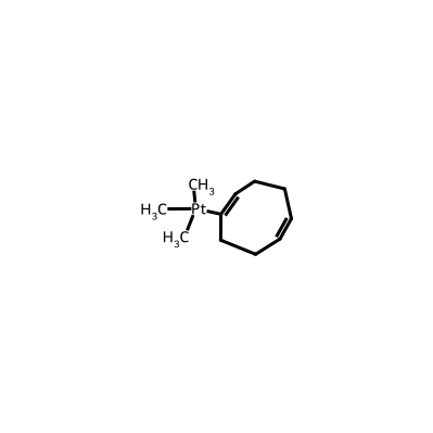 [CH3][Pt]([CH3])([CH3])[C]1=CCCC=CCC1